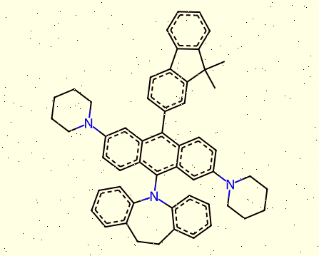 CC1(C)c2ccccc2-c2ccc(-c3c4cc(N5CCCCC5)ccc4c(N4c5ccccc5CCc5ccccc54)c4cc(N5CCCCC5)ccc34)cc21